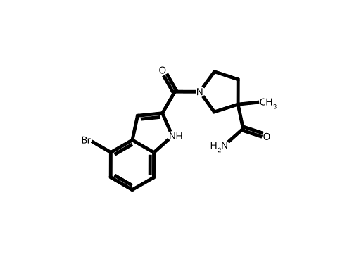 CC1(C(N)=O)CCN(C(=O)c2cc3c(Br)cccc3[nH]2)C1